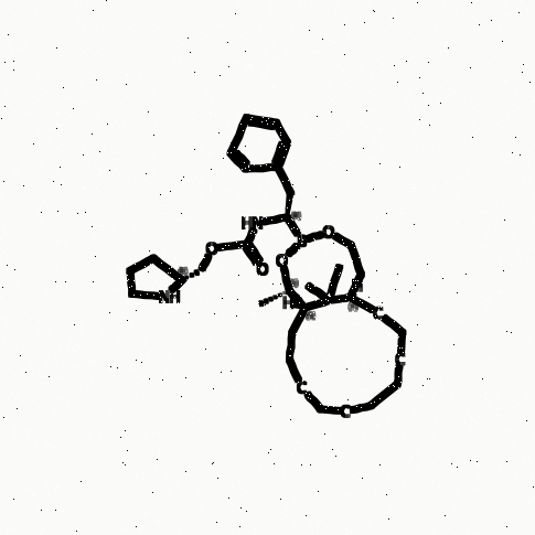 C[C@@H]1OB([C@H](Cc2ccccc2)NC(=O)OC[C@H]2CCCN2)OCC[C@@H]2CCCCCCCCCC[C@H]1C2(C)C